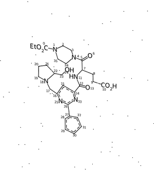 CCOC(=O)N1CCN(C(=O)C(CCC(=O)O)NC(=O)c2cc(CN3CCCC3CO)nc(-c3ccccc3)n2)CC1